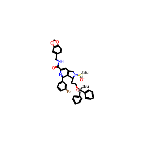 CC(C)(C)[S@@+]([O-])N1Cc2cc(C(=O)NCc3ccc4c(c3)OCO4)nc(-c3cccc(Br)c3)c2C1CCO[Si](c1ccccc1)(c1ccccc1)C(C)(C)C